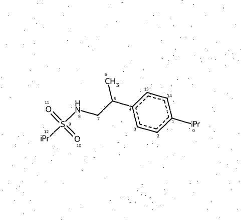 CC(C)c1ccc(C(C)CNS(=O)(=O)C(C)C)cc1